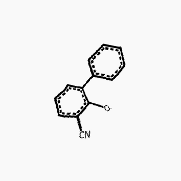 N#Cc1cccc(-c2ccccc2)c1[O]